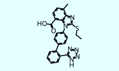 CCSc1nc2c(C)ccc(C(=O)O)c2n1-c1ccc(-c2ccccc2-c2nnn[nH]2)cc1